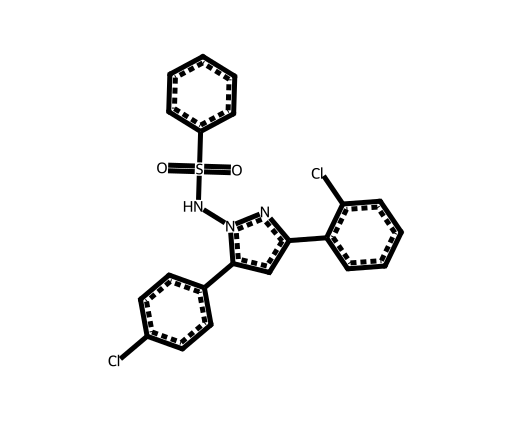 O=S(=O)(Nn1nc(-c2ccccc2Cl)cc1-c1ccc(Cl)cc1)c1ccccc1